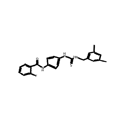 Cc1cc(C)cc(CNC(=S)Nc2ccc(NC(=O)c3ccccc3F)cc2)c1